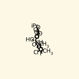 Cc1cc2c(cc(C(=O)N[C@H](CO)c3ccc(S(=O)(=O)CC(=O)OC(C)C)cc3)n2C)c(Cl)c1F